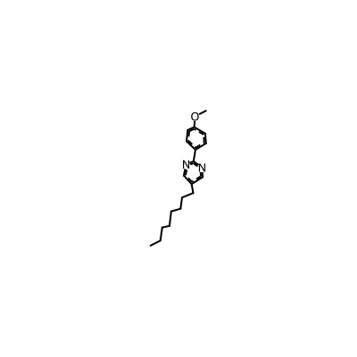 CCCCCCCCc1cnc(-c2ccc(OC)cc2)nc1